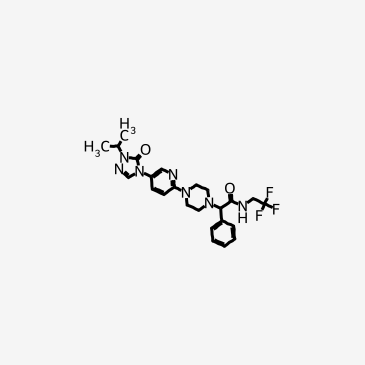 CC(C)n1ncn(-c2ccc(N3CCN(C(C(=O)NCC(F)(F)F)c4ccccc4)CC3)nc2)c1=O